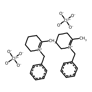 CC1=[N+](Cc2ccccc2)CCCC1.CC1=[N+](Cc2ccccc2)CCCC1.[O-][Cl+3]([O-])([O-])[O-].[O-][Cl+3]([O-])([O-])[O-]